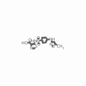 Cc1cc(Nc2ccc(S(=O)(=O)Nc3scnc3C(=O)O)cc2)no1